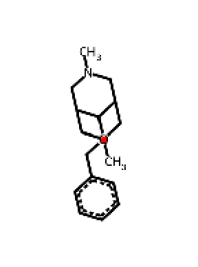 CN1CC2CN(C)CC(C1)C2OCc1ccccc1